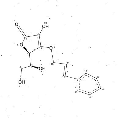 O=C1O[C@H]([C@@H](O)CO)C(OCC=Cc2ccccc2)=C1O